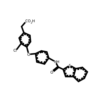 O=C(O)Cc1ccc(Oc2ccc(NC(=O)c3cc4ccccc4s3)cc2)c(Cl)c1